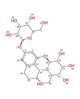 OCC1O[C@@H](Oc2cc(O[C@@H]3OC(CO)[C@@H](O)C(O)C3O)c3c(n2)CCCC3)C(O)C(O)[C@@H]1O